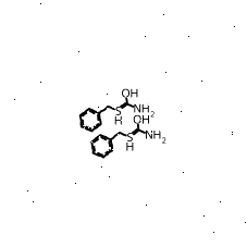 NC(O)=[SH]Cc1ccccc1.NC(O)=[SH]Cc1ccccc1